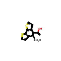 C=C(O)c1c(C(=O)O)c2ccsc2c2sccc12